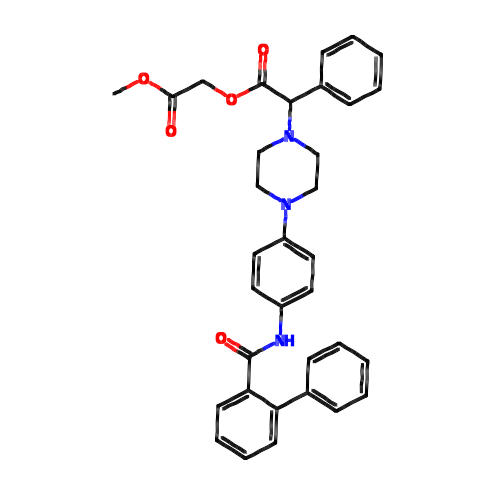 COC(=O)COC(=O)C(c1ccccc1)N1CCN(c2ccc(NC(=O)c3ccccc3-c3ccccc3)cc2)CC1